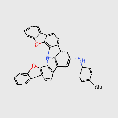 CC(C)(C)C1=CCC(Nc2cc3c4ccc5c6ccccc6oc5c4n4c3c(c2)c2ccc3c5ccccc5oc3c24)C=C1